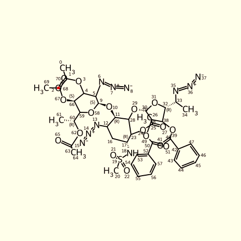 CC(=O)OC1C(N=[N+]=[N-])[C@@H](O[C@@H]2C(N=[N+]=[N-])C[C@@H](NS(C)(=O)=O)C(OC(C)=O)C2O[C@@H]2O[C@H](C(C)N=[N+]=[N-])C(OC(=O)c3ccccc3)C2OC(=O)c2ccccc2)OC([C@@H](C)OC(C)=O)[C@H]1OC(C)=O